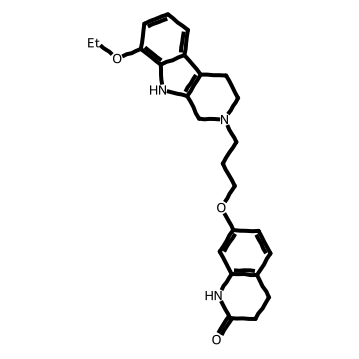 CCOc1cccc2c3c([nH]c12)CN(CCCOc1ccc2c(c1)NC(=O)CC2)CC3